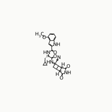 COc1cccc2[nH]c(C(=O)N[C@@H](CC3CC3)C(=O)N[C@@]3(C#N)CC4C3[C@H]3C(=O)NC(=O)[C@H]43)cc12